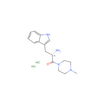 CN1CCN(C(=O)[C@@H](N)Cc2c[nH]c3ccccc23)CC1.Cl.Cl